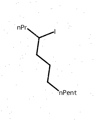 [CH2]CCC(I)CCCCCCCC